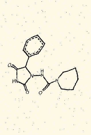 O=C1NC(=O)N(NC(=O)N2CCCCC2)C1c1ccccc1